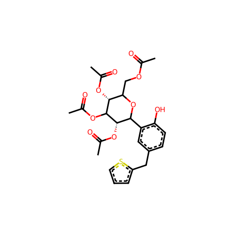 CC(=O)OCC1OC(c2cc(Cc3cccs3)ccc2O)[C@H](OC(C)=O)C(OC(C)=O)[C@@H]1OC(C)=O